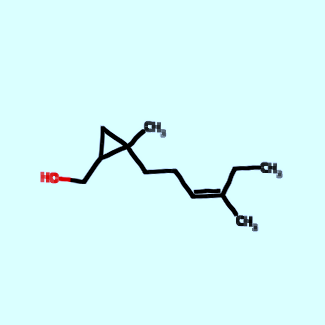 CCC(C)=CCCC1(C)CC1CO